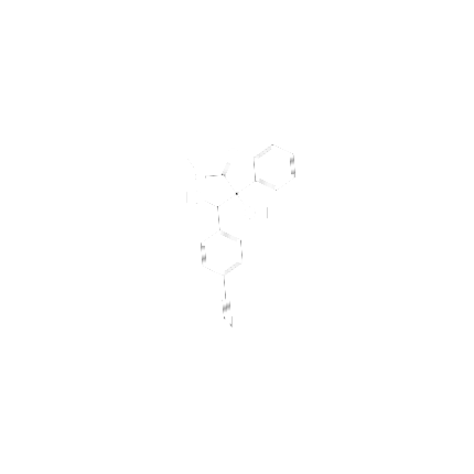 COC(=O)C(O)(c1ccccc1)C(O)c1ccc(C#N)cc1